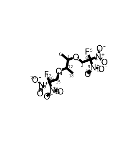 CC(OCC(F)([N+](=O)[O-])[N+](=O)[O-])C(C)OCC(F)([N+](=O)[O-])[N+](=O)[O-]